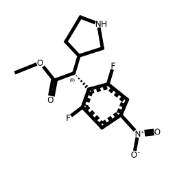 COC(=O)[C@@H](c1c(F)cc([N+](=O)[O-])cc1F)C1CCNC1